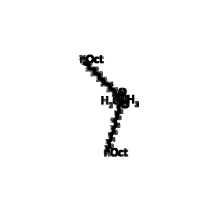 CCCCCCCCC=CCCCCCCCCCCCC(=O)[N+](C)(C)C(=O)CCCCCCCCCCCC=CCCCCCCCC